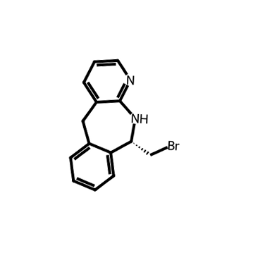 BrC[C@H]1Nc2ncccc2Cc2ccccc21